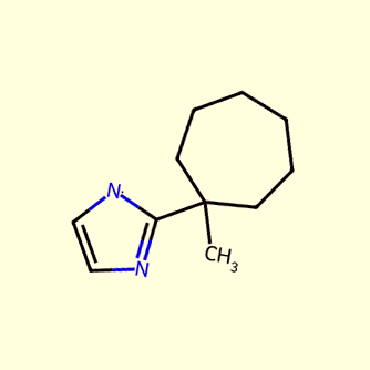 CC1(C2=NC=C[N]2)CCCCCC1